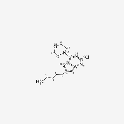 CCCCCc1cc2nc(Cl)nc(N3CCOCC3)c2s1